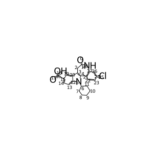 O=C1Cc2c(n(C3CCCCC3)c3ccc(C(=O)O)cc23)-c2ccc(Cl)cc2N1